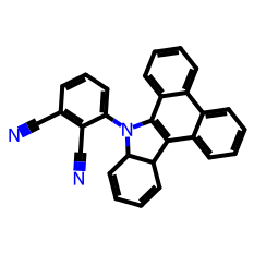 N#Cc1cccc(N2c3c(c4ccccc4c4ccccc34)C3C=CC=CC32)c1C#N